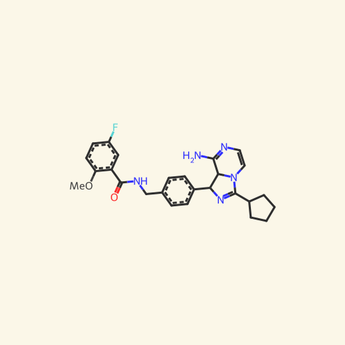 COc1ccc(F)cc1C(=O)NCc1ccc(C2N=C(C3CCCC3)N3C=CN=C(N)C23)cc1